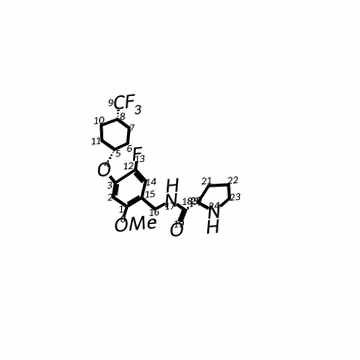 COc1cc(O[C@H]2CC[C@@H](C(F)(F)F)CC2)c(F)cc1CNC(=O)[C@@H]1CCCN1